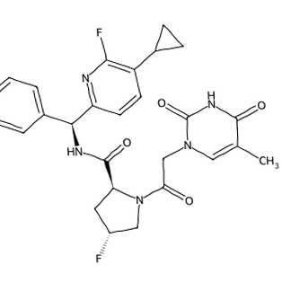 Cc1cn(CC(=O)N2C[C@H](F)C[C@H]2C(=O)N[C@@H](c2ccccc2)c2ccc(C3CC3)c(F)n2)c(=O)[nH]c1=O